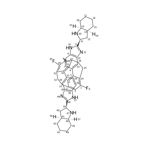 Fc1cc2cc(-c3ccc4[nH]c([C@@H]5C[C@@H]6CCCC[C@@H]6N5)nc4c3)c1CCc1cc(F)c(c(-c3ccc4[nH]c([C@@H]5C[C@@H]6CCCC[C@@H]6N5)nc4c3)c1)CC2